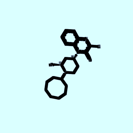 CCC[C@@H]1C[C@H](n2c(=O)c(Cl)nc3ccccc32)CCN1C1CCCCCCC1